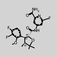 COc1c([C@H]2[C@H](C(=O)Nc3cc(F)nc(C(N)=O)c3)OC(C)(C)[C@H]2C)ccc(F)c1F